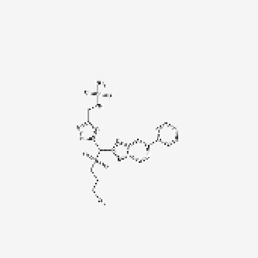 NS(=O)(=O)NCc1nnc(C(c2nc3ccc(-c4ccccc4)cc3s2)S(=O)(=O)CCCC(F)(F)F)o1